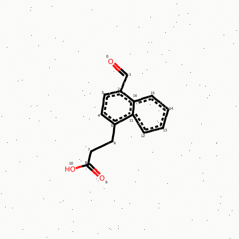 O=Cc1ccc(CCC(=O)O)c2ccccc12